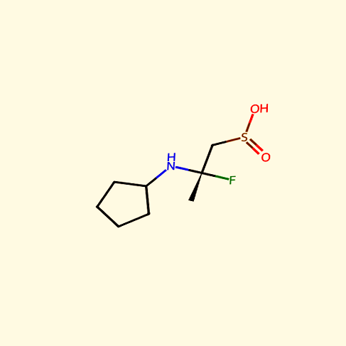 C[C@](F)(CS(=O)O)NC1CCCC1